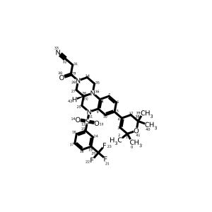 CC1(C)C=C(c2ccc3c(c2)N(S(=O)(=O)c2cccc(C(F)(F)F)c2)C[C@@H]2CN(C(=O)CC#N)CCN32)CC(C)(C)O1